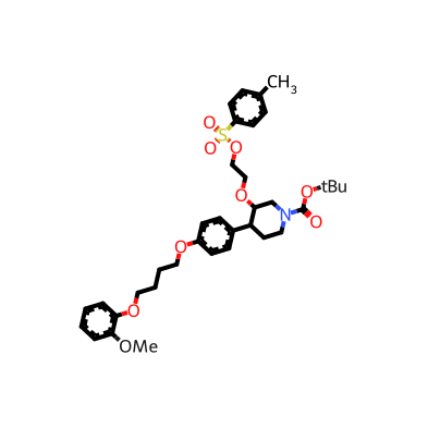 COc1ccccc1OCCCCOc1ccc(C2CCN(C(=O)OC(C)(C)C)CC2OCCOS(=O)(=O)c2ccc(C)cc2)cc1